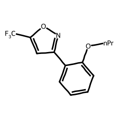 CCCOc1ccccc1-c1cc(C(F)(F)F)on1